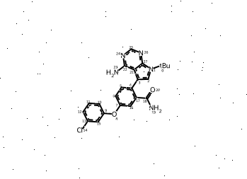 CC(C)(C)n1cc(-c2ccc(Oc3cccc(Cl)c3)cc2C(N)=O)c2c(N)ncnc21